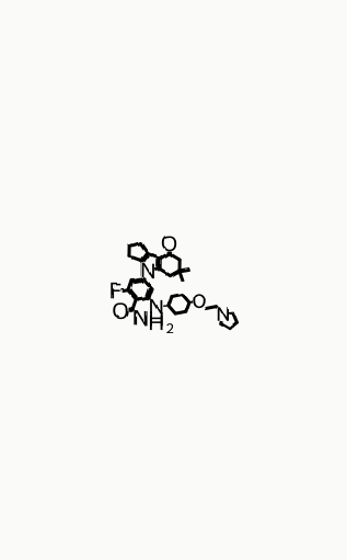 CC1(C)CC(=O)c2c3c(n(-c4cc(F)c(C(N)=O)c(N[C@H]5CC[C@H](OCCN6CCCC6)CC5)c4)c2C1)CCC3